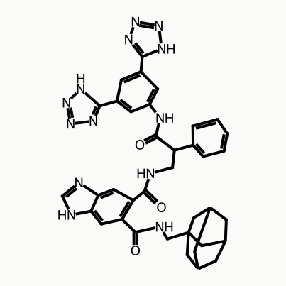 O=C(NCC(C(=O)Nc1cc(-c2nnn[nH]2)cc(-c2nnn[nH]2)c1)c1ccccc1)c1cc2nc[nH]c2cc1C(=O)NCC12CC3CC(CC(C3)C1)C2